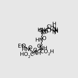 CCOCCNC(=O)CCC(NC(=O)CC[C@H](NC(=O)CCCNC(=O)CCCS(=O)(=O)NC(=O)CC(C)(C)CCc1nnn[nH]1)C(=O)O)C(=O)O